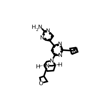 Nc1ncc(-c2cc(N3C[C@@H]4CC[C@H]3CN4C3COC3)nc(N3CC4CC3C4)n2)cn1